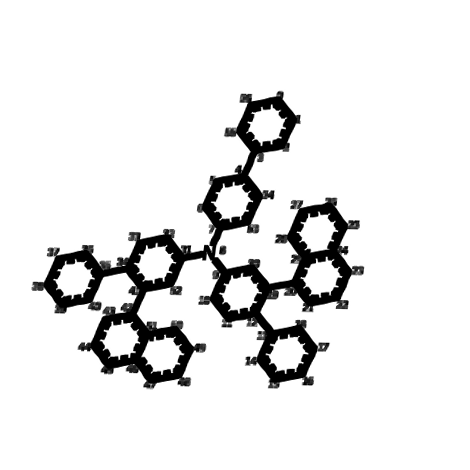 c1ccc(-c2ccc(N(c3ccc(-c4ccccc4)c(-c4cccc5ccccc45)c3)c3ccc(-c4ccccc4)c(-c4cccc5ccccc45)c3)cc2)cc1